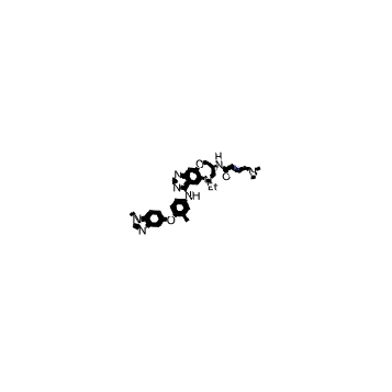 CCN1C[C@H](NC(=O)/C=C/CN(C)C)COc2cc3ncnc(Nc4ccc(Oc5ccc6c(c5)ncn6C)c(C)c4)c3cc21